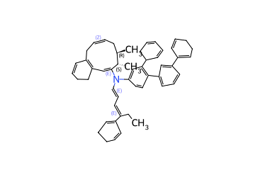 CC/C(=C\C=C\N(/C1=C/C2=C(C=CCC2)C/C=C\C[C@@H](C)[C@@H]1C)c1ccc(-c2cccc(C3=CCCC=C3)c2)c(C2C=CC=CC2)c1)C1=CCCC=C1